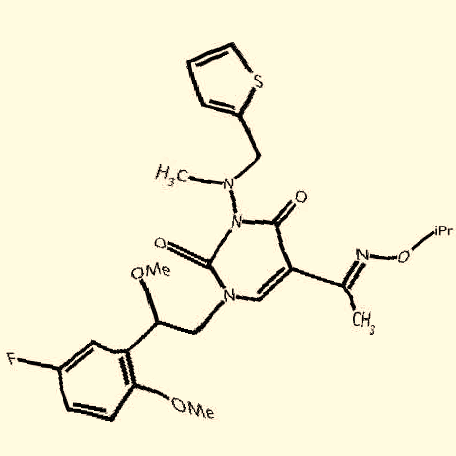 COc1ccc(F)cc1C(Cn1cc(/C(C)=N/OC(C)C)c(=O)n(N(C)Cc2cccs2)c1=O)OC